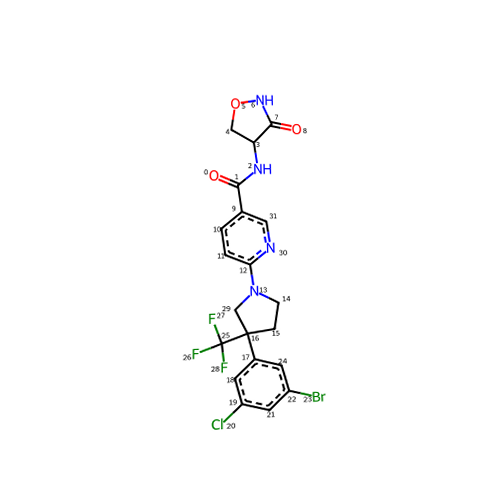 O=C(NC1CONC1=O)c1ccc(N2CCC(c3cc(Cl)cc(Br)c3)(C(F)(F)F)C2)nc1